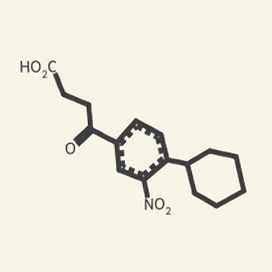 O=C(O)CCC(=O)c1ccc(C2CCCCC2)c([N+](=O)[O-])c1